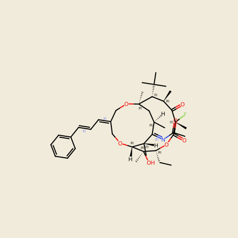 CC[C@H]1OC(=O)[C@@](C)(F)C(=O)[C@H](C)[C@@H](C(C)(C)C)[C@@]2(C)C[C@@H](C)/C(=N\C(C)=O)[C@H](C)[C@@H](OC/C(=C\C=C\c3ccccc3)CO2)[C@]1(C)O